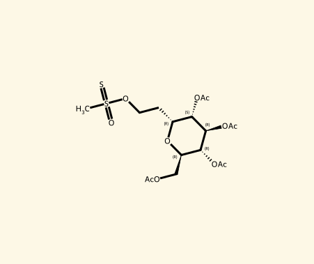 CC(=O)OC[C@H]1O[C@H](CCOS(C)(=O)=S)[C@H](OC(C)=O)[C@@H](OC(C)=O)[C@@H]1OC(C)=O